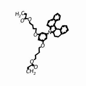 C=CC(=O)OCCCCOc1cc(OCCCCOC(=O)C=C)cc(-n2c3c(c4c5ccccc5ccc42)-c2ccccc2CC3)c1